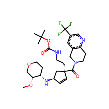 CO[C@@H]1COCC[C@@H]1N[C@@H]1C=C[C@](CCNC(=O)OC(C)(C)C)(C(=O)N2CCc3ncc(C(F)(F)F)cc3C2)C1